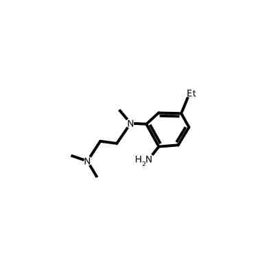 CCc1ccc(N)c(N(C)CCN(C)C)c1